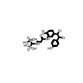 CCC(c1ccc(O)cc1)C(CC)c1ccc(O)c(NC(=O)CCNC(P(=O)(O)O)P(=O)(O)O)c1